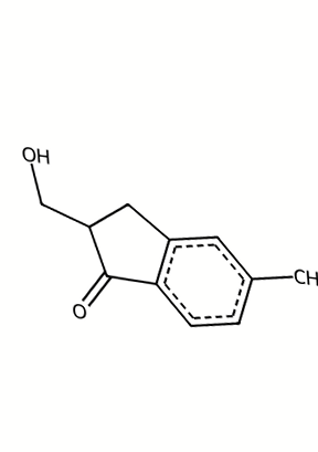 Cc1ccc2c(c1)CC(CO)C2=O